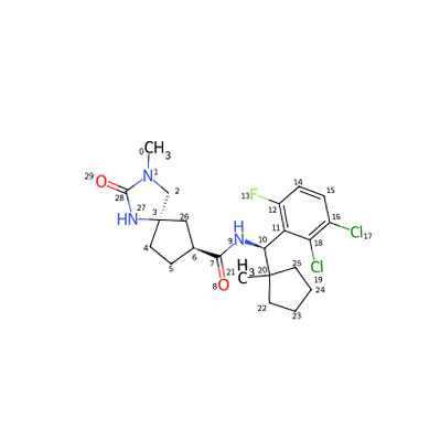 CN1C[C@]2(CC[C@H](C(=O)N[C@@H](c3c(F)ccc(Cl)c3Cl)C3(C)CCCC3)C2)NC1=O